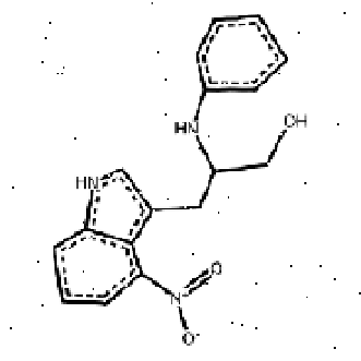 O=[N+]([O-])c1cccc2[nH]cc(CC(CO)Nc3ccccc3)c12